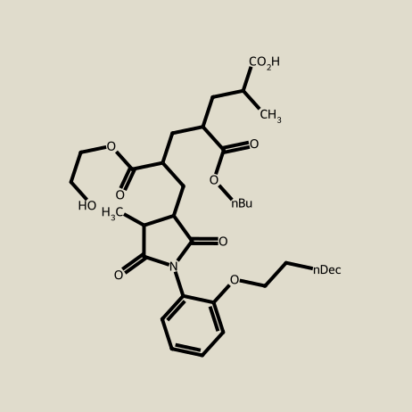 CCCCCCCCCCCCOc1ccccc1N1C(=O)C(C)C(CC(CC(CC(C)C(=O)O)C(=O)OCCCC)C(=O)OCCO)C1=O